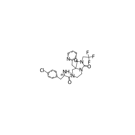 N[C@H](Cc1ccc(Cl)cc1)C(=O)N1CCN2C(=O)N(CC(F)(F)F)C(=O)C2(Cc2ccccn2)C1